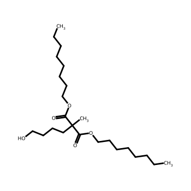 CCCCCCCCOC(=O)C(C)(CCCCO)C(=O)OCCCCCCCC